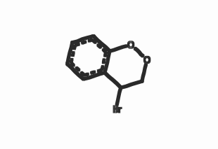 BrC1COOc2ccccc21